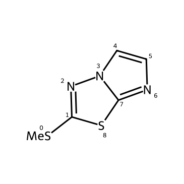 CSc1nn2ccnc2s1